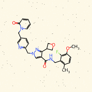 COc1ccc(C)c(CNC(=O)c2cn(Cc3ccc(Cn4ccccc4=O)cn3)nc2C2COC2)c1F